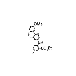 CCOC(=O)c1cc(C)ccc1Nc1cnc(-c2cc(OC)ccc2F)c(C)c1